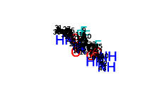 COc1cc(-c2cc(C(F)(F)F)cc3c2n(C)c(=O)n3CC(=O)Nc2cccc(C3CC3)c2)cc(F)c1OCC(=N)NC=N